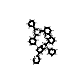 c1ccc(-c2ccc3nc(-c4cccc5c4sc4c(-c6nc(-c7ccccc7)nc(-c7ccccc7)n6)cccc45)n(-c4ccccc4)c3c2)cc1